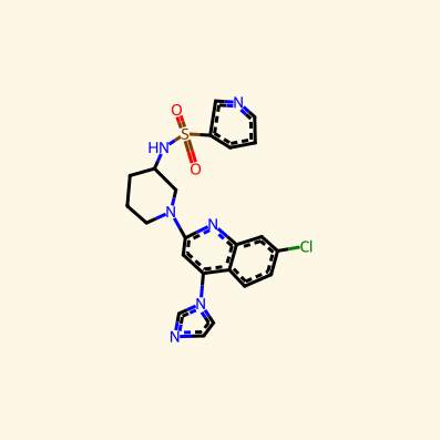 O=S(=O)(NC1CCCN(c2cc(-n3ccnc3)c3ccc(Cl)cc3n2)C1)c1cccnc1